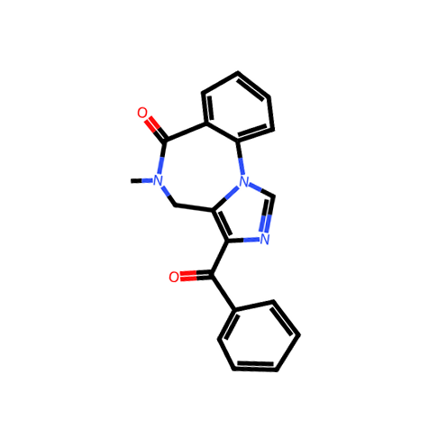 CN1Cc2c(C(=O)c3ccccc3)ncn2-c2ccccc2C1=O